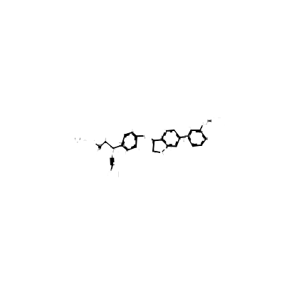 CC#C[C@@H](CC(=O)OC)c1ccc(OC2CCc3cc(-c4cccc(OC(F)(F)F)c4)ccc32)cc1